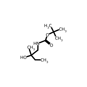 CCC(C)(O)CNC(=O)OC(C)(C)C